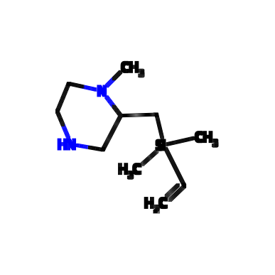 C=C[Si](C)(C)CC1CNCCN1C